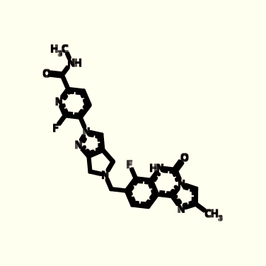 CNC(=O)c1ccc(-n2cc3c(n2)CN(Cc2ccc4c([nH]c(=O)n5cc(C)nc45)c2F)C3)c(F)n1